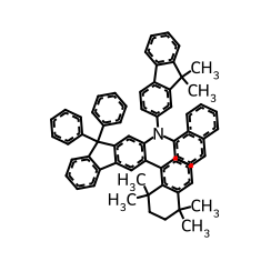 CC1(C)CCC(C)(C)c2c(-c3cc4c(cc3N(c3ccc5c(c3)C(C)(C)c3ccccc3-5)c3cccc5ccccc35)C(c3ccccc3)(c3ccccc3)c3ccccc3-4)cccc21